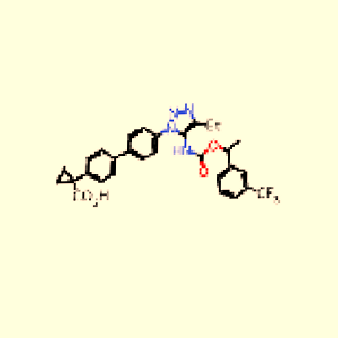 CCc1nnn(-c2ccc(-c3ccc(C4(C(=O)O)CC4)cc3)cc2)c1NC(=O)OC(C)c1cccc(C(F)(F)F)c1